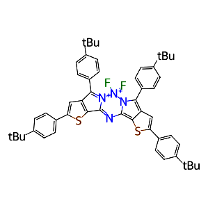 CC(C)(C)c1ccc(C2=[N+]3C(=Nc4c5sc(-c6ccc(C(C)(C)C)cc6)cc5c(-c5ccc(C(C)(C)C)cc5)n4[N+]3(F)F)c3sc(-c4ccc(C(C)(C)C)cc4)cc32)cc1